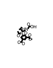 COC(=O)c1cc(C(=O)OC)cc(N(C(C)=O)C(C(=O)NCC(=O)O)C(C)C)c1